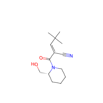 CC(C)(C)C=C(C#N)C(=O)N1CCCC[C@@H]1CO